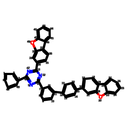 c1ccc(-c2nc(-c3cccc(-c4ccc(-c5ccc6c(c5)oc5ccccc56)cc4)c3)nc(-c3ccc4c(c3)oc3ccccc34)n2)cc1